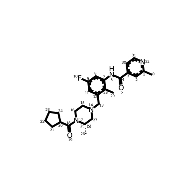 Cc1cc(C(=O)Nc2cc(F)cc(CN3CCN(C(=O)C4CCCC4)[C@@H](C)C3)c2C)ccn1